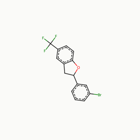 FC(F)(F)c1ccc2c(c1)CC(c1cccc(Br)c1)O2